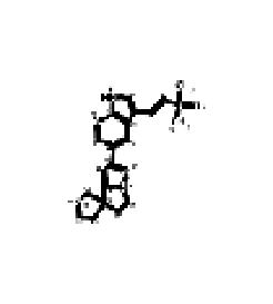 CP(C)(=O)/C=C/c1c[nH]c2ncc(-c3cc4n(n3)CCC43CCNC3)cc12